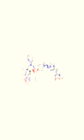 CS(=O)(=O)Nc1cnc2cc(N3CCCCC3)nc(O[C@H]3CC[C@@H](Nc4ncc(CN5CCOCC5)cn4)CC3)c2c1